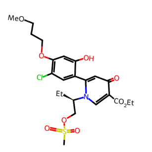 CCOC(=O)c1cn([C@H](CC)COS(C)(=O)=O)c(-c2cc(Cl)c(OCCCOC)cc2O)cc1=O